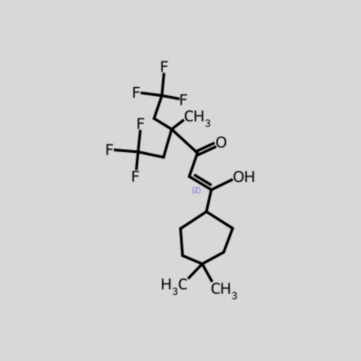 CC1(C)CCC(/C(O)=C/C(=O)C(C)(CC(F)(F)F)CC(F)(F)F)CC1